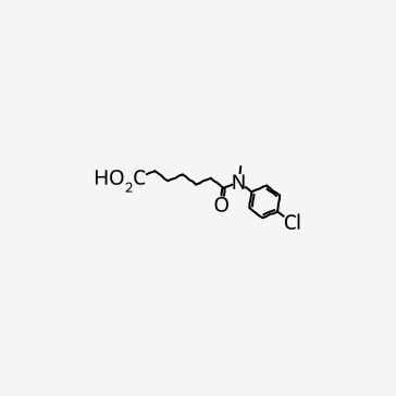 CN(C(=O)CCCCCC(=O)O)c1ccc(Cl)cc1